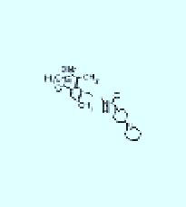 CC1=C(CCCNC(=O)N2CCC(N3CCCCC3)CC2)C2=C(C)C3(CC3)[C@@](C)(O)C(=O)C2=C1